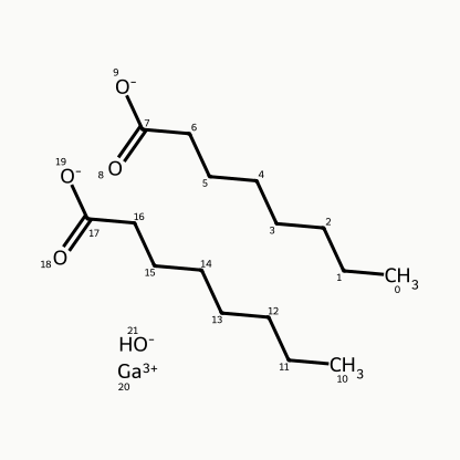 CCCCCCCC(=O)[O-].CCCCCCCC(=O)[O-].[Ga+3].[OH-]